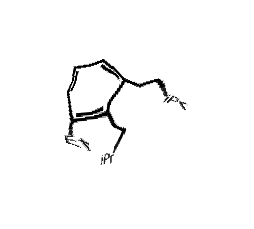 [CH2]Cc1cccc(CC(C)C)c1CC(C)C